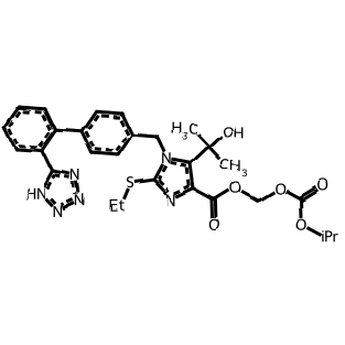 CCSc1nc(C(=O)OCOC(=O)OC(C)C)c(C(C)(C)O)n1Cc1ccc(-c2ccccc2-c2nnn[nH]2)cc1